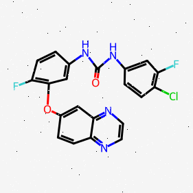 O=C(Nc1ccc(Cl)c(F)c1)Nc1ccc(F)c(Oc2ccc3nccnc3c2)c1